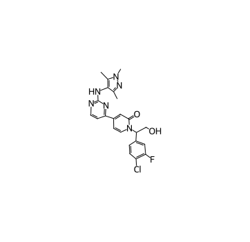 Cc1nn(C)c(C)c1Nc1nccc(-c2ccn(C(CO)c3ccc(Cl)c(F)c3)c(=O)c2)n1